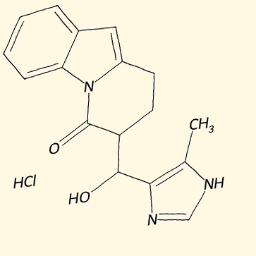 Cc1[nH]cnc1C(O)C1CCc2cc3ccccc3n2C1=O.Cl